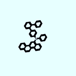 c1ccc(-c2ccccc2-c2ccc(N(c3ccccc3)c3cc4c5ccccc5ccc4c4ccccc34)cc2)cc1